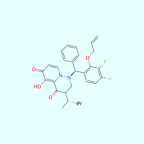 C=CCOc1c([C@H](c2ccccc2)N2CC([C@@H](C)C(C)C)C(=O)c3c(O)c(=O)ccn32)ccc(F)c1F